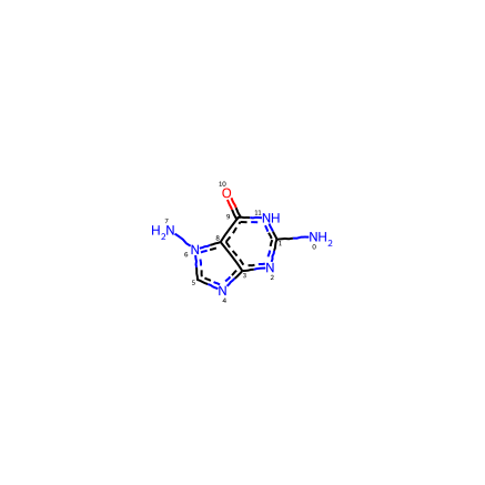 Nc1nc2ncn(N)c2c(=O)[nH]1